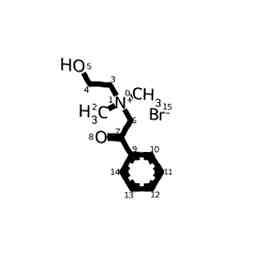 C[N+](C)(CCO)CC(=O)c1ccccc1.[Br-]